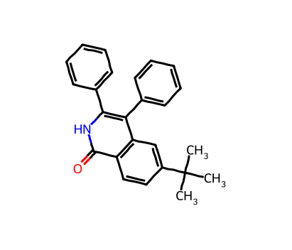 CC(C)(C)c1ccc2c(=O)[nH]c(-c3ccccc3)c(-c3ccccc3)c2c1